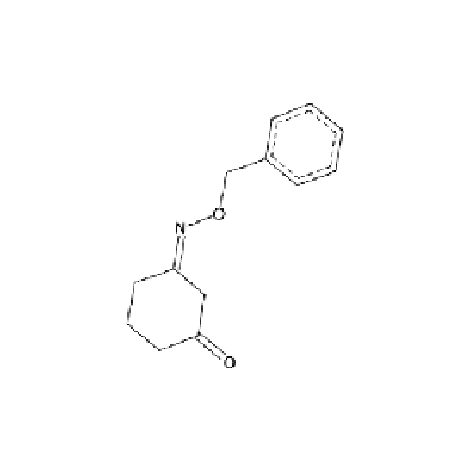 O=C1CCC/C(=N/OCc2ccccc2)C1